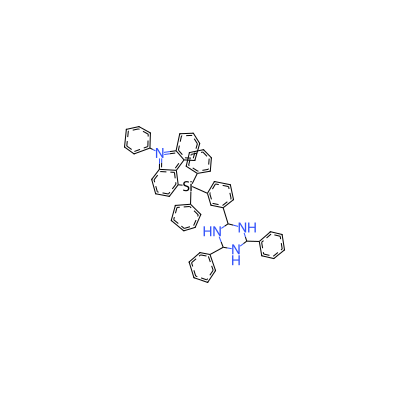 c1ccc(C2NC(c3ccccc3)NC(c3cccc([Si](c4ccccc4)(c4ccccc4)c4cccc5c4c4ccccc4n5-c4ccccc4)c3)N2)cc1